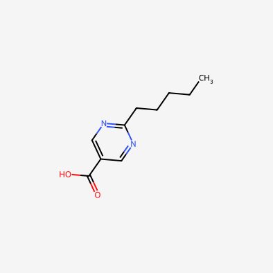 CCCCCc1ncc(C(=O)O)cn1